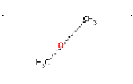 CCCCCCCCCCC[CH]OCCCCCCC